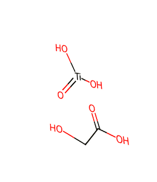 O=C(O)CO.[O]=[Ti]([OH])[OH]